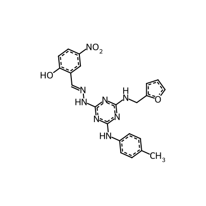 Cc1ccc(Nc2nc(NCc3ccco3)nc(N/N=C/c3cc([N+](=O)[O-])ccc3O)n2)cc1